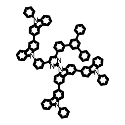 c1ccc(-c2cc(-c3ccccc3)cc(-c3cccc(-c4cc(-c5cccc(-n6c7ccccc7c7cc(-c8ccc9c(c8)c8ccccc8n9-c8ccccc8)ccc76)c5)nc(-n5c6ccc(-c7ccc8c(c7)c7ccccc7n8-c7ccccc7)cc6c6cc(-c7ccc8c(c7)c7ccccc7n8-c7ccccc7)ccc65)n4)c3)c2)cc1